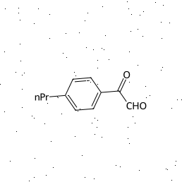 CCCc1ccc(C(=O)C=O)cc1